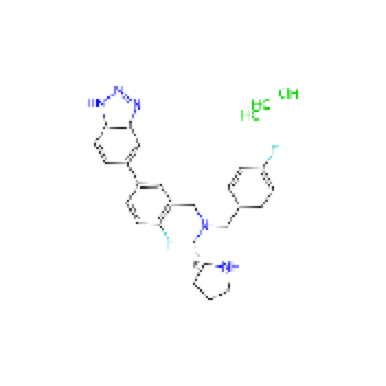 Cl.Cl.Cl.Fc1ccc(CN(Cc2cc(-c3ccc4[nH]nnc4c3)ccc2F)C[C@H]2CCCN2)cc1